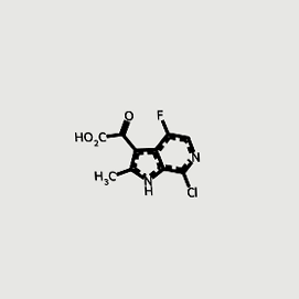 Cc1[nH]c2c(Cl)ncc(F)c2c1C(=O)C(=O)O